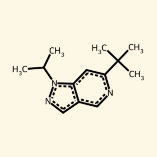 CC(C)n1ncc2cnc(C(C)(C)C)cc21